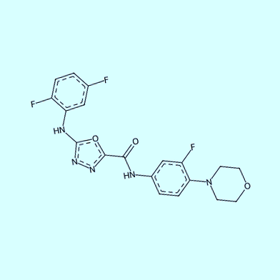 O=C(Nc1ccc(N2CCOCC2)c(F)c1)c1nnc(Nc2cc(F)ccc2F)o1